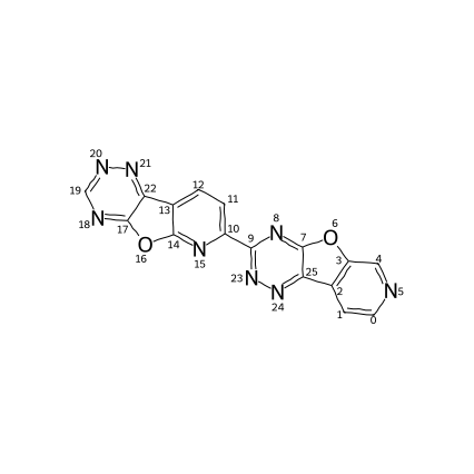 c1cc2c(cn1)oc1nc(-c3ccc4c(n3)oc3ncnnc34)nnc12